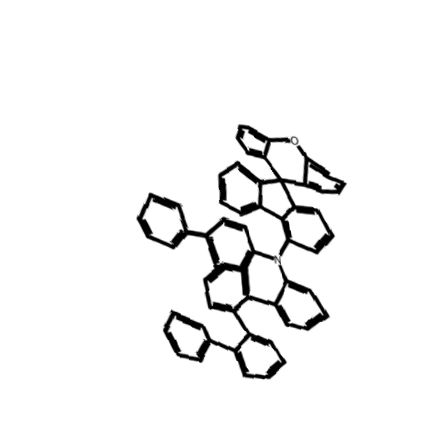 c1ccc(-c2ccc(N(c3ccccc3-c3ccccc3-c3ccccc3-c3ccccc3)c3cccc4c3-c3ccccc3C43c4ccccc4Oc4ccccc43)cc2)cc1